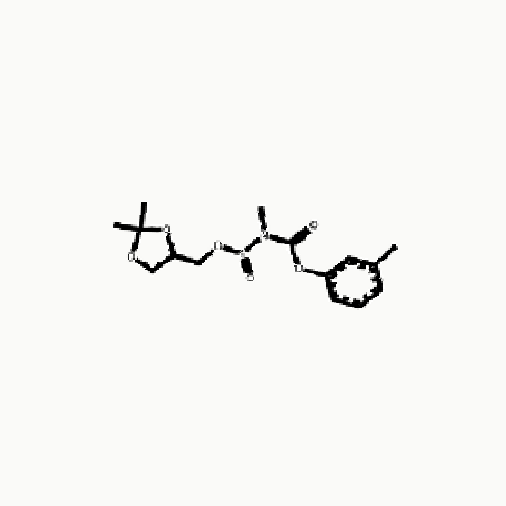 Cc1cccc(OC(=O)N(C)S(=O)OCC2COC(C)(C)O2)c1